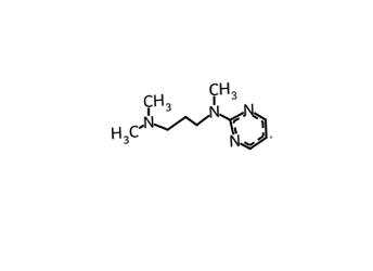 CN(C)CCCN(C)c1nc[c]cn1